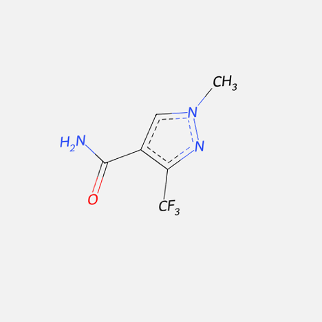 Cn1cc(C(N)=O)c(C(F)(F)F)n1